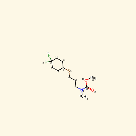 CN(CCCSC1CCC(F)(F)CC1)C(=O)OC(C)(C)C